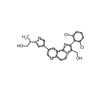 CC(CO)n1cc(-c2cnc3ccn4c(CO)c(-c5c(Cl)cccc5Cl)nc4c3c2)cn1